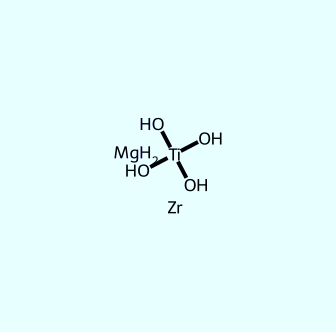 [MgH2].[OH][Ti]([OH])([OH])[OH].[Zr]